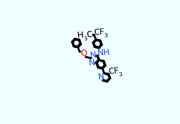 CC(c1ccc(Nc2nc(COCc3ccccc3)nc3cc(-c4ncccc4C(F)(F)F)ccc23)cc1)C(F)(F)F